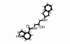 O=C(NCC(O)CNC1Cc2ccccc2C1)c1cccc2[nH]ncc12